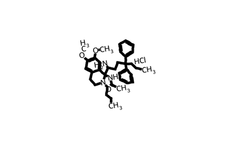 CCCCN1CCc2cc(OC)c(OC)cc2C1(NC(C)=O)C(N)CCC(CCC)(c1ccccc1)c1ccccc1.Cl